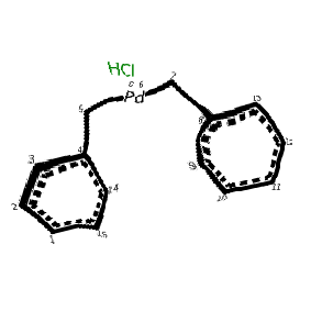 Cl.c1ccc([CH2][Pd][CH2]c2ccccc2)cc1